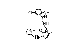 Cc1cnc(NCCC2CCCN2)c(=O)n1CCNCc1n[nH]c2ccc(Cl)cc12